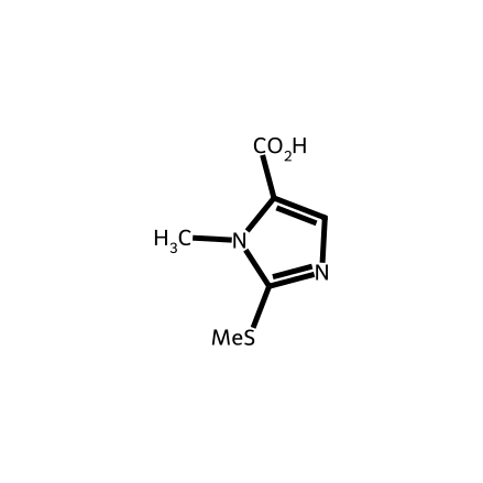 CSc1ncc(C(=O)O)n1C